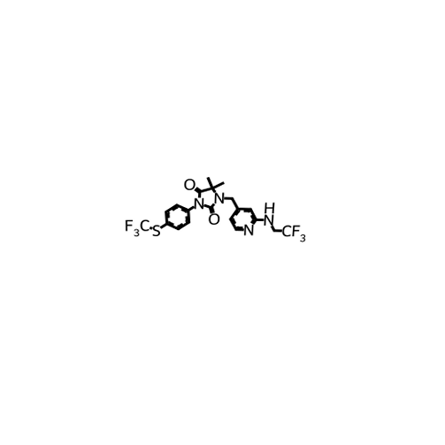 CC1(C)C(=O)N(c2ccc(SC(F)(F)F)cc2)C(=O)N1Cc1ccnc(NCC(F)(F)F)c1